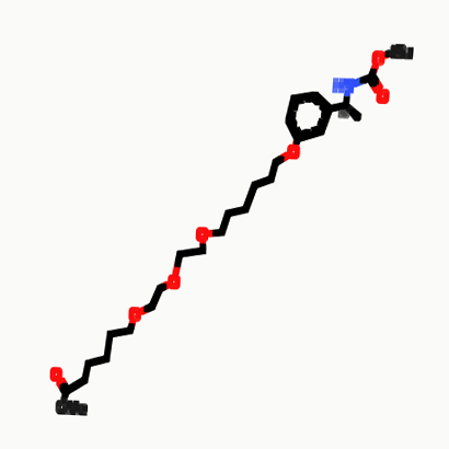 COC(=O)CCCCCOCCOCCOCCCCCCOc1cccc([C@H](C)NC(=O)OC(C)(C)C)c1